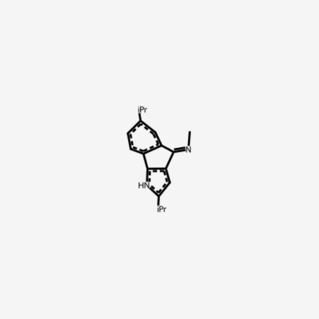 C/N=C1\c2cc(C(C)C)ccc2-c2[nH]c(C(C)C)cc21